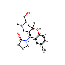 CN(CCO)CC1=C(N2CCCC2=O)c2cc(C#N)ccc2OC1(C)C